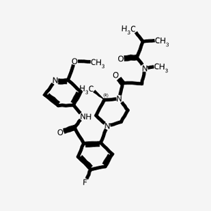 COc1cc(NC(=O)c2cc(F)ccc2N2CCN(C(=O)CN(C)C(=O)C(C)C)[C@H](C)C2)ccn1